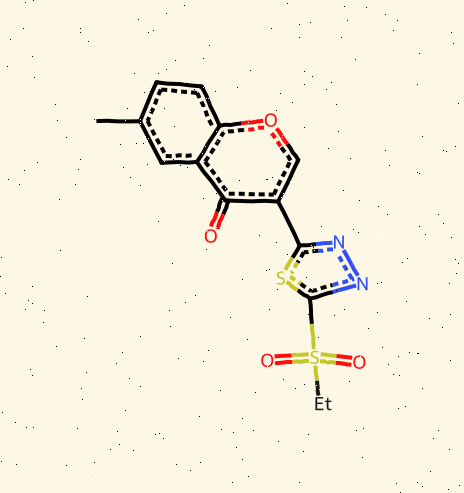 CCS(=O)(=O)c1nnc(-c2coc3ccc(C)cc3c2=O)s1